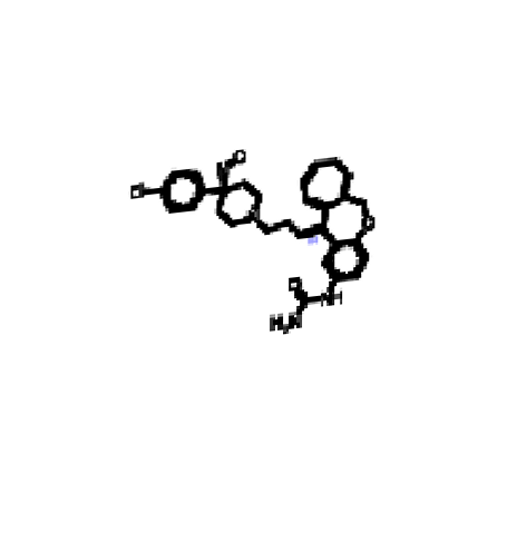 NC(=O)Nc1ccc2c(c1)/C(=C/CCN1CCC(N=O)(c3ccc(Cl)cc3)CC1)C1=CC=CCC=C1CO2